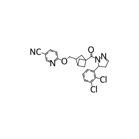 N#Cc1ccc(OCC2CC3(C(=O)N4N=CCC4c4cccc(Cl)c4Cl)CC2C3)nc1